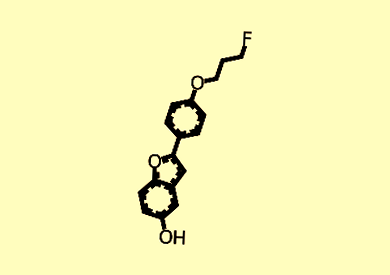 Oc1ccc2oc(-c3ccc(OCCCF)cc3)cc2c1